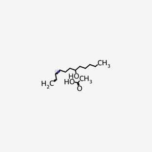 C=C/C=C\CCC(O)CCCCC.CC(=O)O